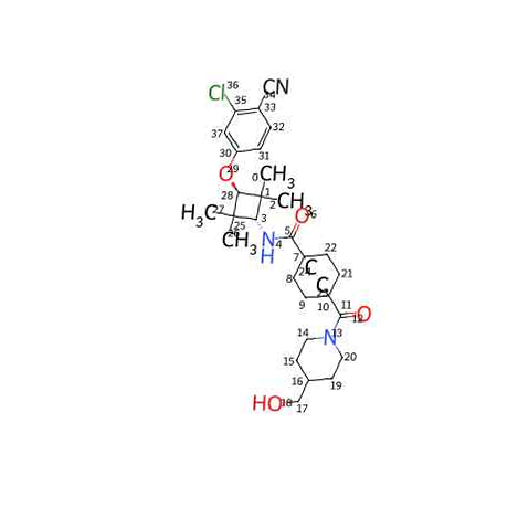 CC1(C)[C@H](NC(=O)C23CCC(C(=O)N4CCC(CO)CC4)(CC2)CC3)C(C)(C)[C@H]1Oc1ccc(C#N)c(Cl)c1